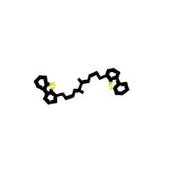 CC(=C\C=C/Cc1cccc2c1sc1ccccc12)/C(C)=C/C=C\Cc1cccc2c1sc1ccccc12